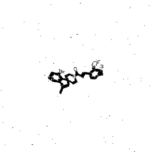 CC1CC2(CCN(C(=O)/C=C/c3ccccc3C(F)(F)F)CC2)c2c(Br)cccc21